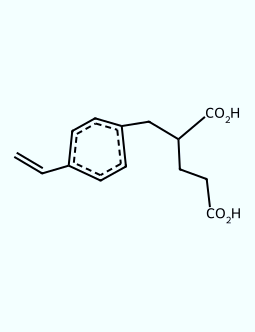 C=Cc1ccc(CC(CCC(=O)O)C(=O)O)cc1